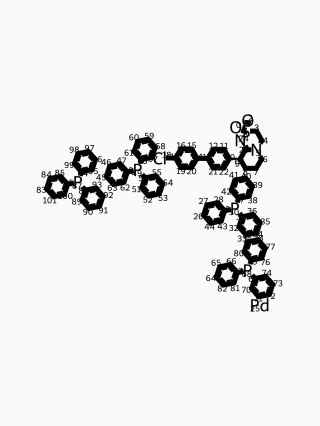 O=S1(=O)CCN2CCC[C@@H](c3ccc(-c4ccc(Cl)cc4)cc3)C2=N1.[Pd].c1ccc(P(c2ccccc2)c2ccccc2)cc1.c1ccc(P(c2ccccc2)c2ccccc2)cc1.c1ccc(P(c2ccccc2)c2ccccc2)cc1.c1ccc(P(c2ccccc2)c2ccccc2)cc1